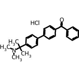 CN(C)C(C)(C)c1ccc(-c2ccc(C(=O)c3ccccc3)cc2)cc1.Cl